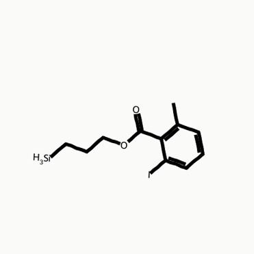 Cc1cccc(I)c1C(=O)OCCC[SiH3]